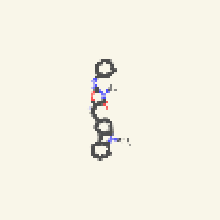 CCN1C(=O)/C(=C\c2ccc3c(c2)c2ccccc2n3C)O/C1=N/c1ccccc1